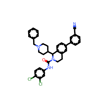 N#Cc1cccc(-c2ccc3c(c2)CCN(C(=O)Nc2ccc(Cl)c(Cl)c2)C3C2CCN(Cc3ccccc3)CC2)c1